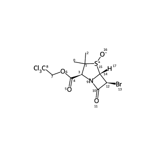 CC1(C)[C@H](C(=O)OCC(Cl)(Cl)Cl)N2C(=O)[C@H](Br)[C@H]2[S+]1[O-]